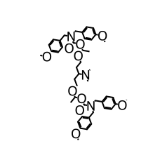 COc1ccc(CN(Cc2ccc(OC)cc2)C(=O)OC(C)OCCC(CCOC(C)OC(=O)N(Cc2ccc(OC)cc2)Cc2ccc(OC)cc2)N(C)C)cc1